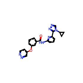 O=C(Nc1cccc(-c2nncn2C2CC2)n1)c1cccc(Oc2ccnnc2)c1